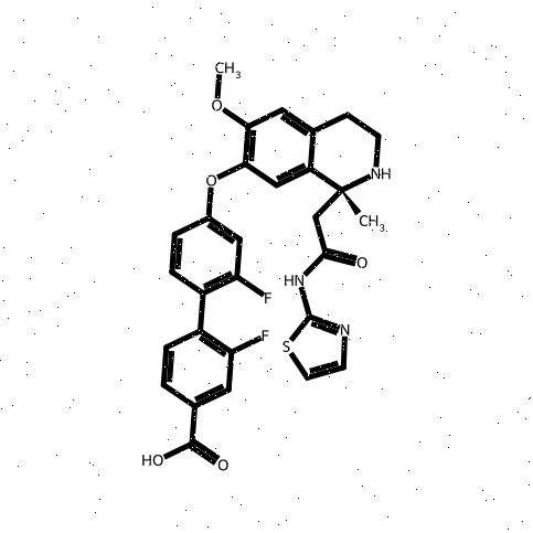 COc1cc2c(cc1Oc1ccc(-c3ccc(C(=O)O)cc3F)c(F)c1)[C@@](C)(CC(=O)Nc1nccs1)NCC2